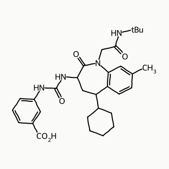 Cc1ccc2c(c1)N(CC(=O)NC(C)(C)C)C(=O)C(NC(=O)Nc1cccc(C(=O)O)c1)CC2C1CCCCC1